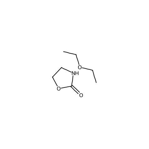 CCOCC.O=C1NCCO1